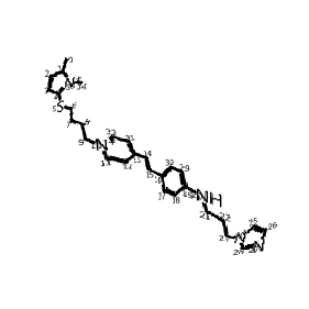 CC1C=CC(SCCCC[n+]2ccc(/C=C/c3ccc(NCCCn4ccnc4)cc3)cc2)=[N+]1C